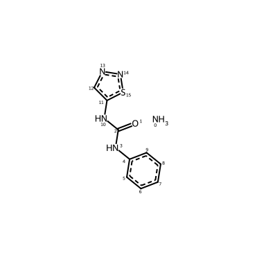 N.O=C(Nc1ccccc1)Nc1cnns1